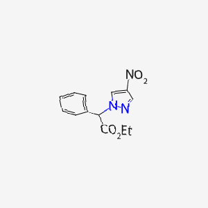 CCOC(=O)C(c1ccccc1)n1cc([N+](=O)[O-])cn1